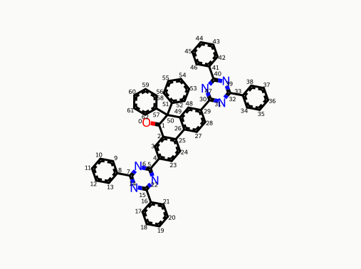 O=C1c2cc(-c3nc(-c4ccccc4)nc(-c4ccccc4)n3)ccc2-c2ccc(-c3nc(-c4ccccc4)nc(-c4ccccc4)n3)cc2C1(c1ccccc1)c1ccccc1